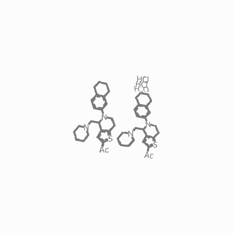 CC(=O)c1cc2c(s1)CCN(c1ccc3c(c1)CCCC3)C2CN1CCCCC1.CC(=O)c1cc2c(s1)CCN(c1ccc3c(c1)CCCC3)C2CN1CCCCC1.Cl.Cl.O